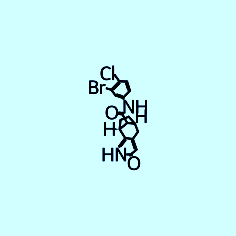 O=C(Nc1ccc(Cl)c(Br)c1)C1[C@@H]2CC[C@@H]1c1c[nH]c(=O)cc1C2